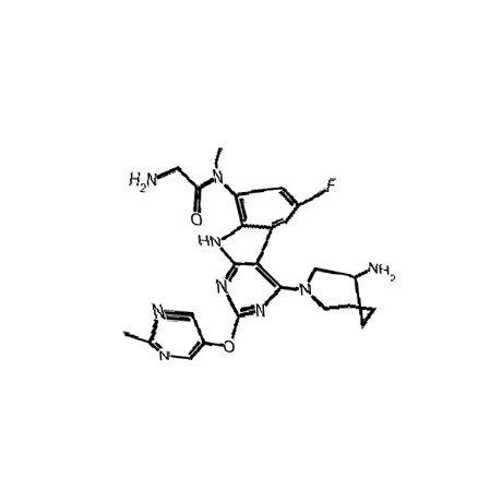 Cc1ncc(Oc2nc(N3CC(N)C4(CC4)C3)c3c(n2)[nH]c2c(N(C)C(=O)CN)cc(F)cc23)cn1